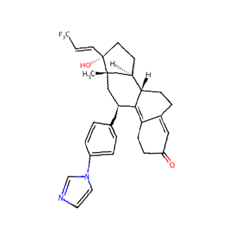 C[C@]12C[C@H](c3ccc(-n4ccnc4)cc3)C3=C4CCC(=O)C=C4CC[C@H]3[C@@H]1CC[C@]2(O)/C=C/C(F)(F)F